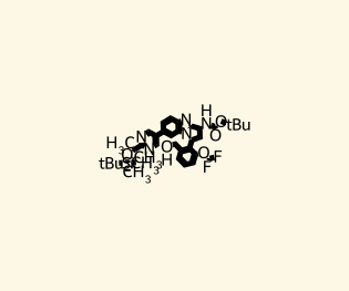 CC(C)(C)OC(=O)N[C@@H]1CC(c2c(CO)cccc2OC(F)F)n2c1nc1ccc(-c3cnc(C(C)(C)O[Si](C)(C)C(C)(C)C)nc3)cc12